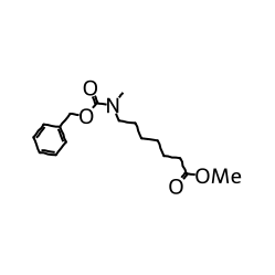 COC(=O)CCCCCCN(C)C(=O)OCc1ccccc1